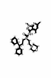 Cc1cc(C)c2c(NC(=O)N(CCC(c3ccccc3)c3ccccc3)CCN3CCOCC3)nn(C)c2n1